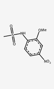 COc1cc([N+](=O)[O-])ccc1NS(C)(=O)=O